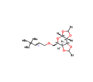 CCC[CH2][Sn](/[CH]=C/COC[C@H]1O[C@@H]2OC(CC)O[C@@H]2[C@H]2OC(CC)O[C@H]21)([CH2]CCC)[CH2]CCC